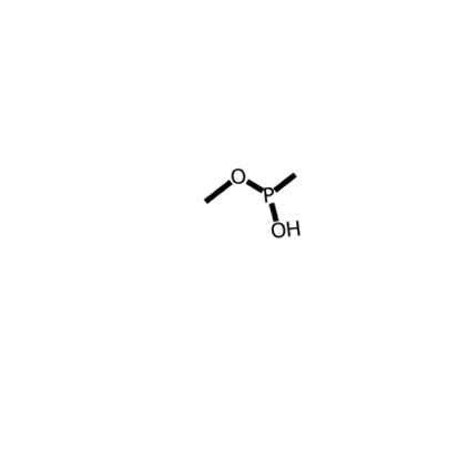 COP(C)O